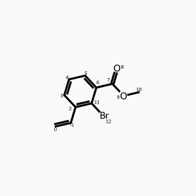 C=[C]c1cccc(C(=O)OC)c1Br